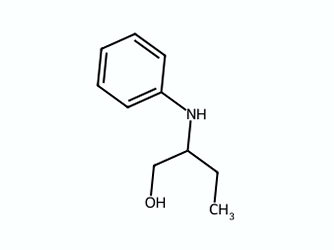 CCC(CO)Nc1ccccc1